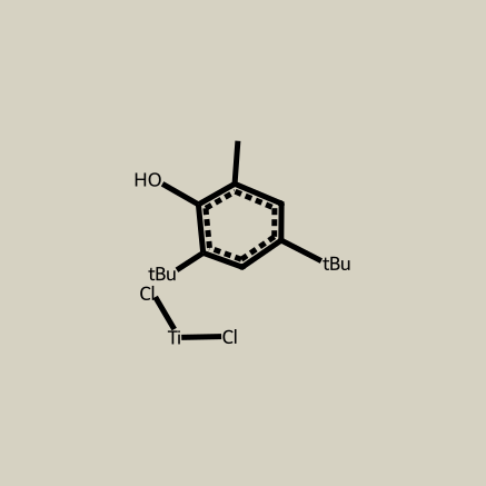 Cc1cc(C(C)(C)C)cc(C(C)(C)C)c1O.[Cl][Ti][Cl]